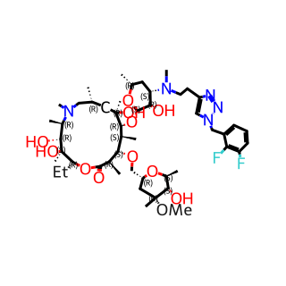 CC[C@H]1OC(=O)[C@H](C)[C@@H](OC[C@H]2C[C@@](C)(OC)[C@@H](O)[C@H](C)O2)[C@H](C)[C@@H](O[C@@H]2O[C@H](C)C[C@H](N(C)CCc3cn(Cc4cccc(F)c4F)nn3)[C@H]2O)[C@](C)(O)C[C@@H](C)CN(C)[C@H](C)[C@@H](O)[C@]1(C)O